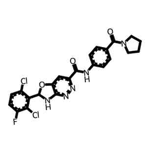 O=C(Nc1ccc(C(=O)N2CCCC2)cc1)c1cc2c(nn1)NC(c1c(Cl)ccc(F)c1Cl)O2